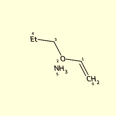 C=COCCC.N